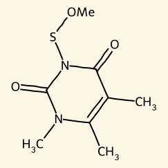 COSn1c(=O)c(C)c(C)n(C)c1=O